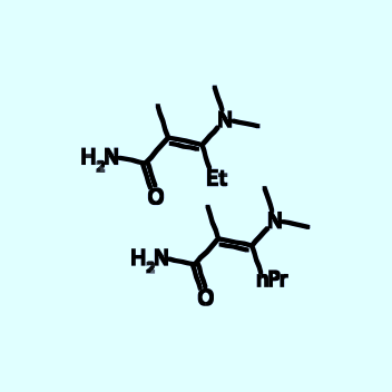 CC/C(=C(/C)C(N)=O)N(C)C.CCC/C(=C(/C)C(N)=O)N(C)C